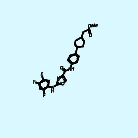 COC(=O)CC1CCC(c2ccc(NC(=O)c3coc(Nc4cc(F)c(F)cc4F)n3)cc2)CC1